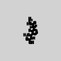 CNC(=O)C(F)(F)c1cccc([C@@H](C)NC(=O)O)c1F